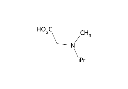 CC(C)N(C)CC(=O)O